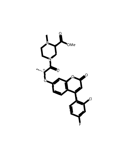 COC(=O)C1CN(C(=O)[C@@H](C)Oc2ccc3c(-c4ccc(F)cc4Cl)cc(=O)oc3c2)CCN1C